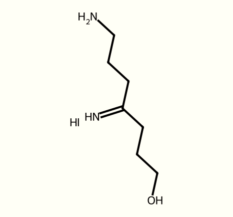 I.N=C(CCCN)CCCO